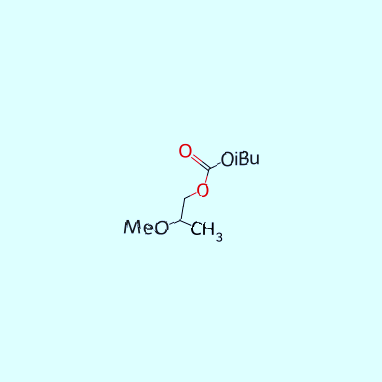 COC(C)COC(=O)OCC(C)C